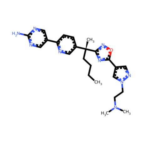 CCCC[C@](C)(c1ccc(-c2cnc(N)nc2)nc1)c1noc(-c2cnn(CCN(C)C)c2)n1